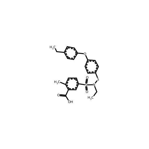 CCc1ccc(Oc2ccc(SN(CC)S(=O)(=O)c3ccc(C)c(C(=O)O)c3)cc2)cc1